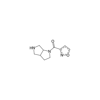 O=C(c1ccon1)N1CCC2CNCC21